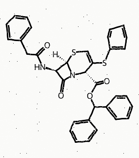 O=C(Cc1ccccc1)N[C@@H]1C(=O)N2[C@@H](C(=O)OC(c3ccccc3)c3ccccc3)C(Sc3ccccc3)=CS[C@H]12